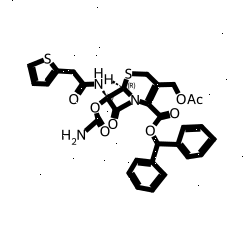 CC(=O)OCC1=C(C(=O)OC(c2ccccc2)c2ccccc2)N2C(=O)[C@@](NC(=O)Cc3cccs3)(OC(N)=O)[C@H]2SC1